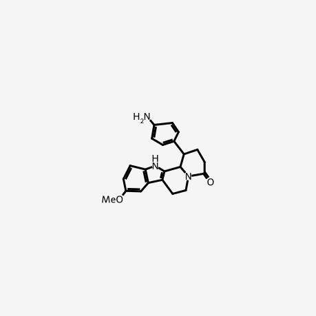 COc1ccc2[nH]c3c(c2c1)CCN1C(=O)CCC(c2ccc(N)cc2)C31